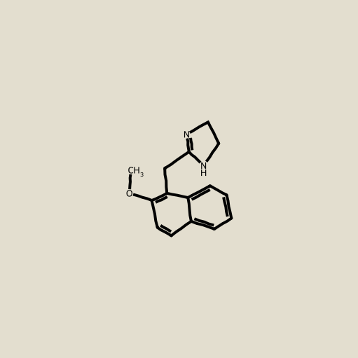 COc1ccc2ccccc2c1CC1=NCCN1